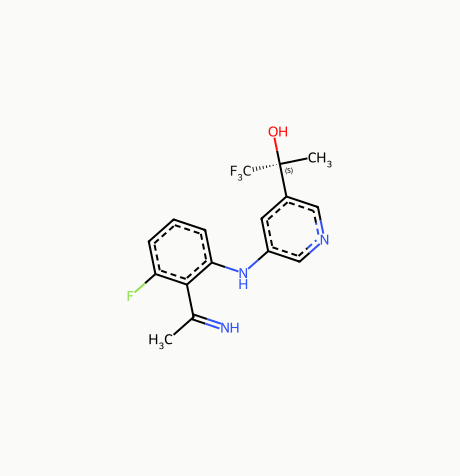 CC(=N)c1c(F)cccc1Nc1cncc([C@](C)(O)C(F)(F)F)c1